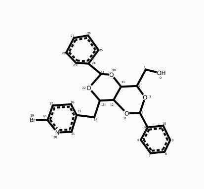 OCC1OC(c2ccccc2)OC2C(Cc3ccc(Br)nc3)OC(c3ccccc3)OC12